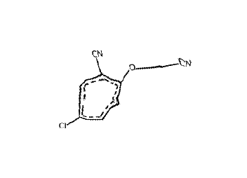 N#CCOc1ccc(Cl)cc1C#N